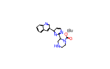 CC(C)(C)OC(=O)N1CCNCC1c1nccc(-c2cnc3ccccc3c2)n1